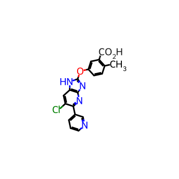 Cc1ccc(Oc2nc3nc(-c4cccnc4)c(Cl)cc3[nH]2)cc1C(=O)O